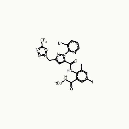 Cc1cc(I)cc(C(=O)NC(C)(C)C)c1NC(=O)c1cc(Cn2nnc(C(F)(F)F)n2)nn1-c1ncccc1Br